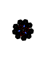 C1=C(N2C(c3ccccc3)(c3ccccc3)c3ccccc3C2(c2ccccc2)c2ccccc2)C=C(N2C(c3ccccc3)(c3ccccc3)c3ccccc3C2(c2ccccc2)c2ccccc2)CC1N1C(c2ccccc2)(c2ccccc2)c2ccccc2C1(c1ccccc1)c1ccccc1